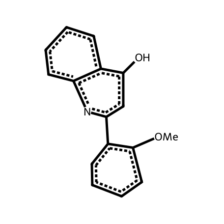 COc1ccccc1-c1cc(O)c2ccccc2n1